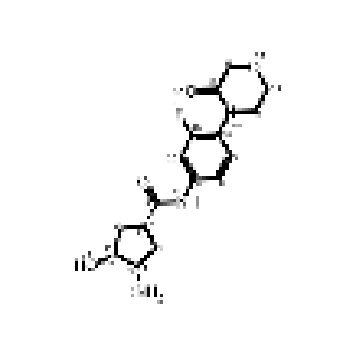 N[C@H]1C[C@@H](C(=O)Nc2ccc(N3CCOCC3=O)c(F)c2)C[C@@H]1O